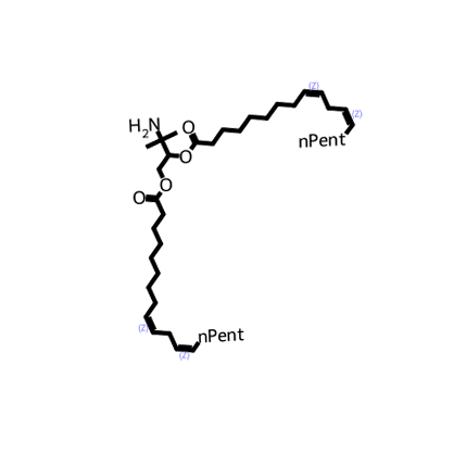 CCCCC/C=C\C/C=C\CCCCCCCC(=O)OCC(OC(=O)CCCCCCC/C=C\C/C=C\CCCCC)C(C)(C)N